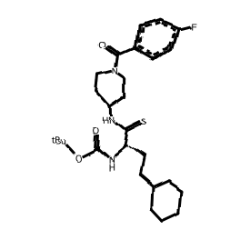 CC(C)(C)OC(=O)N[C@H](CCC1CCCCC1)C(=S)NC1CCN(C(=O)c2ccc(F)cc2)CC1